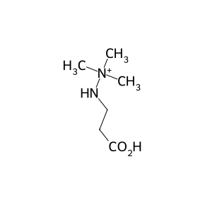 C[N+](C)(C)NCCC(=O)O